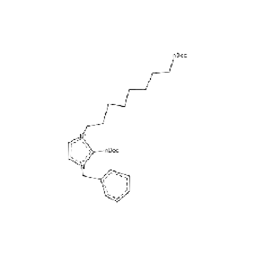 CCCCCCCCCCCCCCCCCC[n+]1ccn(Cc2ccccc2)c1CCCCCCCCCC